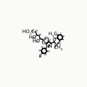 Cc1cccc(CN(C)C(=O)c2nn(-c3ccc(F)cc3)c(OC[C@@H](O)C[C@@H](O)CC(=O)O)c2C(C)C)c1